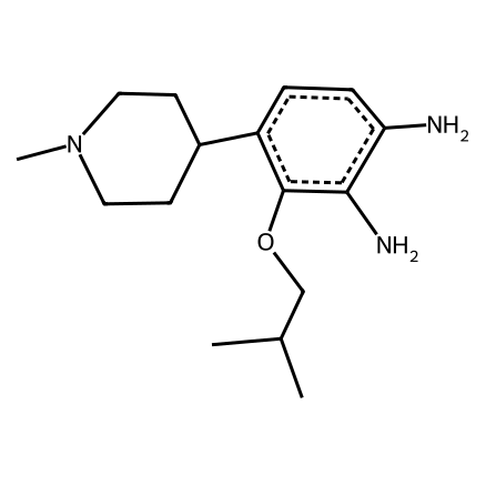 CC(C)COc1c(C2CCN(C)CC2)ccc(N)c1N